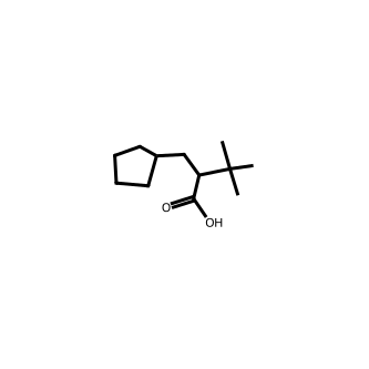 CC(C)(C)C(CC1CCCC1)C(=O)O